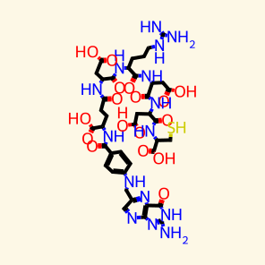 N=C(N)NCCCC(NC(=O)C(CC(=O)O)NC(=O)CCC(NC(=O)c1ccc(NCc2cnc3nc(N)[nH]c(=O)c3n2)cc1)C(=O)O)C(=O)NC(CC(=O)O)C(=O)NC(CC(=O)O)C(=O)NC(CS)C(=O)O